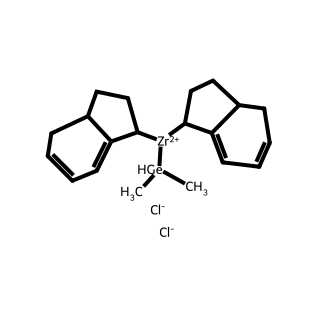 [CH3][GeH]([CH3])[Zr+2]([CH]1CCC2CC=CC=C21)[CH]1CCC2CC=CC=C21.[Cl-].[Cl-]